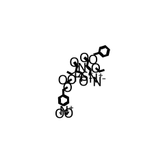 CCOC1=C(C(=O)OCc2ccccc2)N2C(=O)[C@H](C(C)OC(=O)OCc3ccc([N+](=O)[O-])cc3)[C@H]2[S+]([O-])C1=[N+]=[N-]